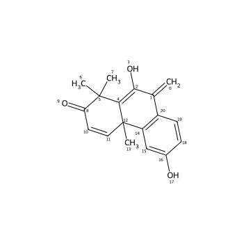 C=C1C(O)=C2C(C)(C)C(=O)C=CC2(C)c2cc(O)ccc21